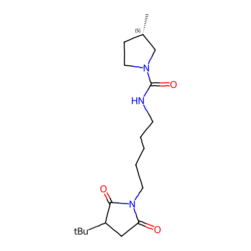 C[C@H]1CCN(C(=O)NCCCCCN2C(=O)CC(C(C)(C)C)C2=O)C1